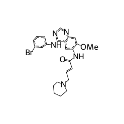 COc1cc2ncnc(Nc3cccc(Br)c3)c2cc1NC(=O)C=CCN1CCCCC1